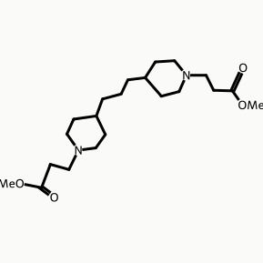 COC(=O)CCN1CCC(CCCC2CCN(CCC(=O)OC)CC2)CC1